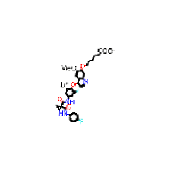 COc1cc2c(Oc3ccc(NC(=O)C4(C(=O)Nc5ccc(F)cc5)CC4)cc3F)ccnc2cc1OCCCCCC(=O)[O-].[Li+]